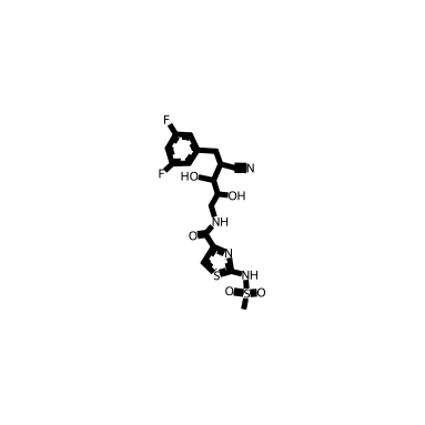 CS(=O)(=O)Nc1nc(C(=O)NCC(O)C(O)C(C#N)Cc2cc(F)cc(F)c2)cs1